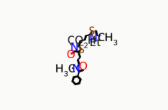 CC[n+]1c(C)csc1C=CC=c1sc(=CC=C2OC=C(c3ccccc3)N2C)c(=O)n1CC(=O)O